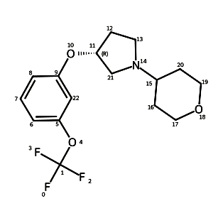 FC(F)(F)Oc1cccc(O[C@@H]2CCN(C3CCOCC3)C2)c1